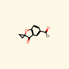 CCC(=O)c1ccc2c(c1)C(=O)C1(CC1)O2